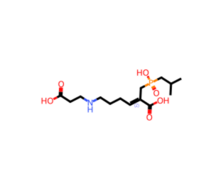 CC(C)CP(=O)(O)C/C(=C\CCCNCCC(=O)O)C(=O)O